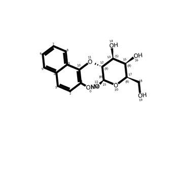 COc1ccc2ccccc2c1O[C@@H]1[C@@H](O)[C@@H](O)[C@@H](CO)O[C@H]1O